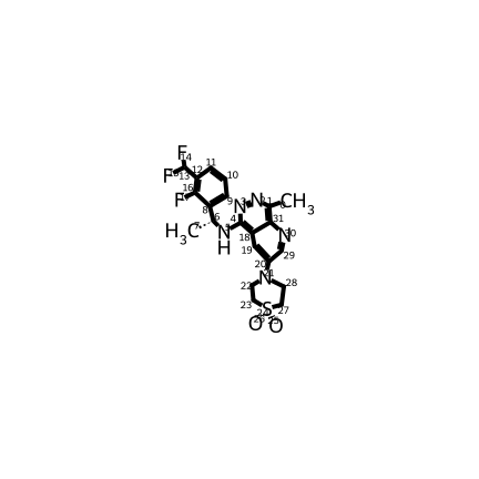 Cc1nnc(N[C@H](C)c2cccc(C(F)F)c2F)c2cc(N3CCS(=O)(=O)CC3)cnc12